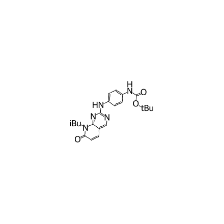 CCC(C)n1c(=O)ccc2cnc(Nc3ccc(NC(=O)OC(C)(C)C)cc3)nc21